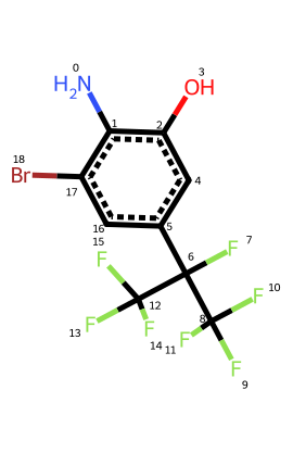 Nc1c(O)cc(C(F)(C(F)(F)F)C(F)(F)F)cc1Br